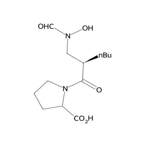 CCCC[C@H](CN(O)C=O)C(=O)N1CCCC1C(=O)O